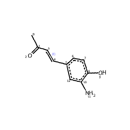 CC(=O)/C=C/c1ccc(O)c(N)c1